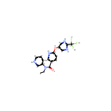 CCN(C(=O)c1ccc(Oc2cnc(C(F)(F)F)nc2)nc1)c1cccnc1